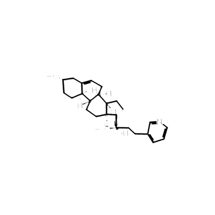 C[C@]12CC[C@H]3[C@@H](CC=C4C[C@@H](O)CC[C@@]43C)[C@@H]1CC[C@@H]2[C@@](C)(O)CCc1cccnc1